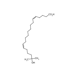 CC(C)(O)CCC/C=C\CCCCCCC/C=C\CCCC(=O)O